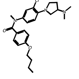 CCCCOc1ccc(C(=O)N(C)c2ccc(N3CCC(N(C)C)C3)c(Cl)c2)cc1